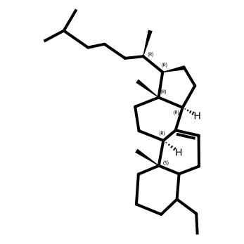 CCC1CCC[C@@]2(C)C1CC=C1[C@@H]3CC[C@H]([C@H](C)CCCC(C)C)[C@@]3(C)CC[C@@H]12